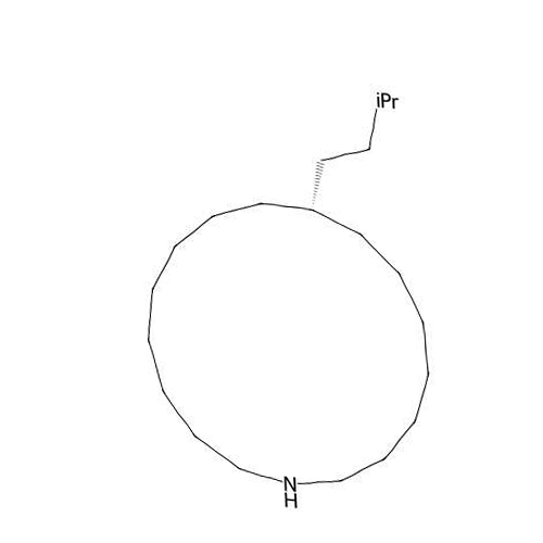 CC(C)CC[C@H]1CCCCCCCCNCCCCCCC1